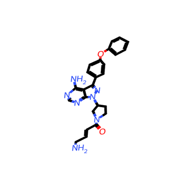 NC/C=C/C(=O)N1CCC(n2nc(-c3ccc(Oc4ccccc4)cc3)c3c(N)ncnc32)C1